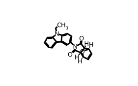 CCn1c2ccccc2c2cc(N3C(=O)[C@@H]4[C@H](C3=O)[C@H]3C=C[C@@H]4O3)ccc21